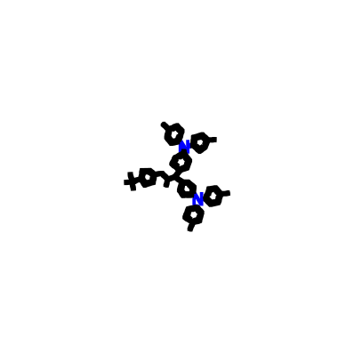 Cc1ccc(N(c2ccc(C)cc2)c2ccc(C(c3ccc(N(c4ccc(C)cc4)c4ccc(C)cc4)cc3)C(C)Cc3ccc(C(C)(C)C)cc3)cc2)cc1